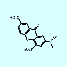 CCCCCCCCc1cc([S+](C)[O-])cc2c(=O)c3cc(C(=O)O)ccc3oc12